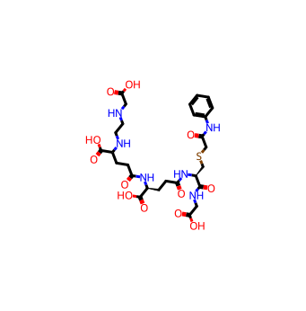 O=C(O)CNCCNC(CCC(=O)N[C@@H](CCC(=O)N[C@@H](CSCC(=O)Nc1ccccc1)C(=O)NCC(=O)O)C(=O)O)C(=O)O